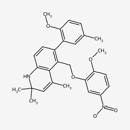 COc1ccc([N+](=O)[O-])cc1OCc1c(-c2cc(C)ccc2OC)ccc2c1C(C)=CC(C)(C)N2